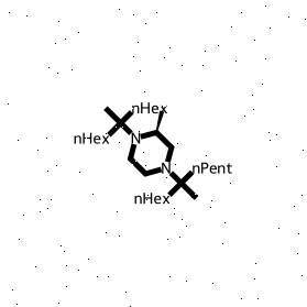 CCCCCCC(C)(CCCCC)N1CCN(C(C)(CCCCCC)CCCCCC)[C@@H](C)C1